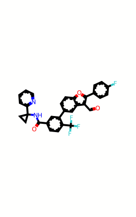 O=Cc1c(-c2ccc(F)cc2)oc2ccc(-c3cc(C(=O)NC4(c5ccccn5)CC4)ccc3C(F)(F)F)cc12